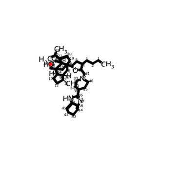 CCCCC1CC(C23C[C@@H]4[C@H](C)CC[C@H]4C4(C=O)CC2C=C(C(C)C)C34C(=O)O)OC1CN1CCC(c2nc3c([nH]2)=CCCC=3)CC1